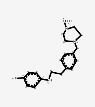 O=C(O)N1CCN(Cc2ccc(CCNc3ccc(F)cc3)cc2)CC1